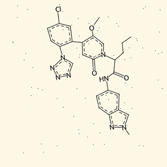 CCCC(C(=O)Nc1ccc2nn(C)cc2c1)n1cc(OC)c(-c2cc(Cl)ccc2-n2cnnn2)cc1=O